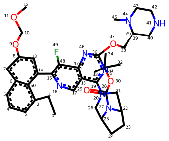 CCc1cccc2cc(OCOC)cc(-c3ncc4c(N5CC6CCC(C5)N6C(=O)OC(C)(C)C)nc(OC[C@@H]5CNCCN5C)nc4c3F)c12